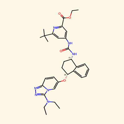 CCOC(=O)c1cc(NC(=O)N[C@H]2CC[C@@H](Oc3ccc4nnc(N(CC)CC)n4c3)c3ccccc32)cc(C(C)(C)C)n1